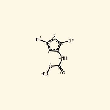 CC(C)c1cc(NC(=O)OC(C)(C)C)c(Cl)s1